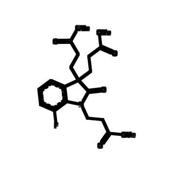 COC(=O)CCN1C(=O)C(CCC(=O)OC)(CCC(=O)OC)c2cccc(F)c21